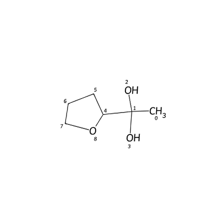 CC(O)(O)C1CCCO1